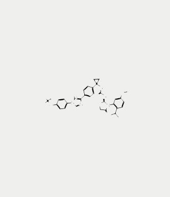 COc1ccc(C(C)C)c(N2C(=O)CS/C2=N\C(=O)NC2(c3ccc(-c4ncn(-c5ccc(OC(F)(F)F)cc5)n4)cc3)CC2)c1